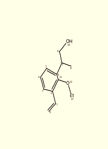 C=Cc1cccc([C](C)CO)c1OCC